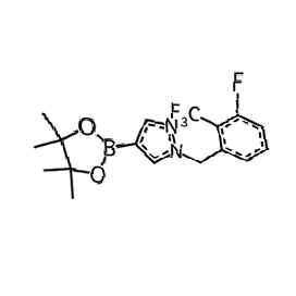 CC1(C)OB(c2cnn(Cc3cccc(F)c3C(F)(F)F)c2)OC1(C)C